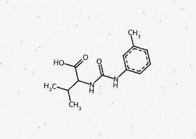 Cc1cccc(NC(=O)NC(C(=O)O)C(C)C)c1